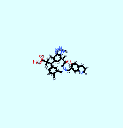 CC[C@@H]1CN(Cc2cc(C(c3ccc4c(nnn4C)c3C)C(C)(C)C(=O)O)ccc2C)Cc2cc3ncccc3cc2O1